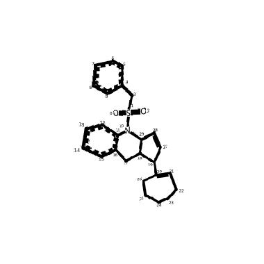 O=S(=O)(Cc1ccccc1)N1c2ccccc2CC2C(C3=CCCCCC3)C=CC21